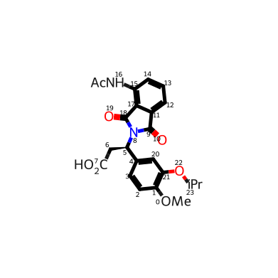 COc1ccc([C@@H](CC(=O)O)N2C(=O)c3cccc(NC(C)=O)c3C2=O)cc1OC(C)C